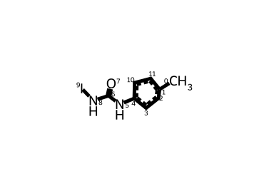 Cc1ccc(NC(=O)NI)cc1